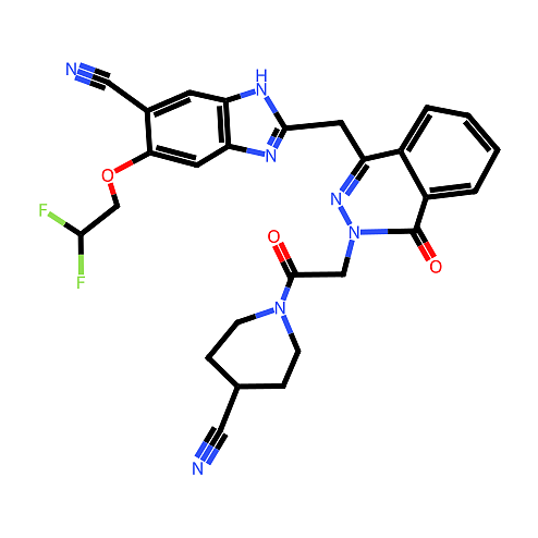 N#Cc1cc2[nH]c(Cc3nn(CC(=O)N4CCC(C#N)CC4)c(=O)c4ccccc34)nc2cc1OCC(F)F